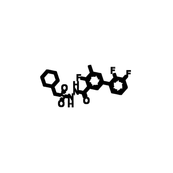 Cc1cc(-c2cccc(F)c2F)cc(C(=O)NNS(=O)(=O)CC2CCCCC2)c1F